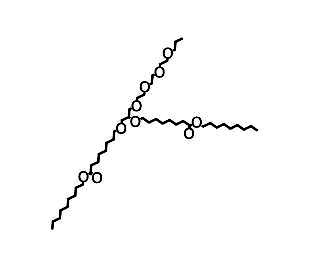 CCCCCCCCCOC(=O)CCCCCCCOCC(COCCOCCOCCOCCC)OCCCCCCCC(=O)OCCCCCCCCC